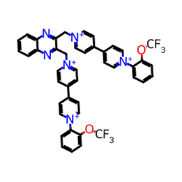 FC(F)(F)Oc1ccccc1-[n+]1ccc(-c2cc[n+](Cc3nc4ccccc4nc3C[n+]3ccc(-c4cc[n+](-c5ccccc5OC(F)(F)F)cc4)cc3)cc2)cc1